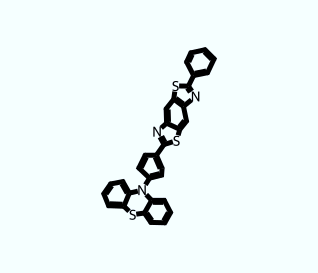 c1ccc(-c2nc3cc4sc(-c5ccc(N6c7ccccc7Sc7ccccc76)cc5)nc4cc3s2)cc1